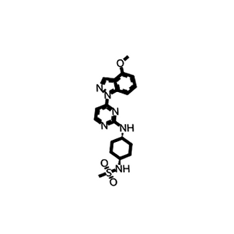 COc1cccc2c1cnn2-c1ccnc(N[C@H]2CC[C@H](NS(C)(=O)=O)CC2)n1